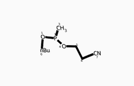 CCCCOP(C)OCCC#N